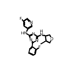 CC1COCC1Nc1nc(Nc2cncc(F)c2)nc(-c2ccccc2F)n1